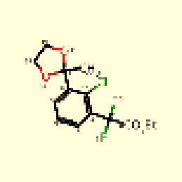 CCOC(=O)C(F)(F)c1cccc(C2(C)OCCO2)c1Cl